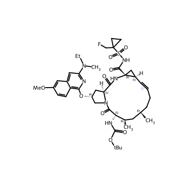 CCN(C)c1cc2cc(OC)ccc2c(O[C@@H]2C[C@H]3C(=O)N[C@]4(C(=O)NS(=O)(=O)C5(CF)CC5)C[C@H]4/C=C\CC[C@@H](C)C[C@@H](C)[C@H](NC(=O)OC(C)(C)C)C(=O)N3C2)n1